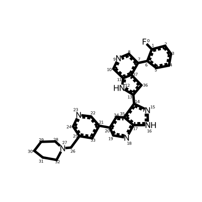 Fc1ccccc1-c1cncc2[nH]c(-c3n[nH]c4ncc(-c5cncc(CN6CCCCC6)c5)cc34)cc12